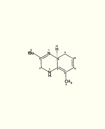 CC1=C2NCC(C(C)(C)C)=N[C@H]2CC=C1